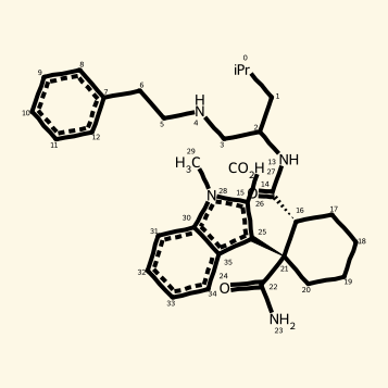 CC(C)CC(CNCCc1ccccc1)NC(=O)[C@@H]1CCCC[C@@]1(C(N)=O)c1c(C(=O)O)n(C)c2ccccc12